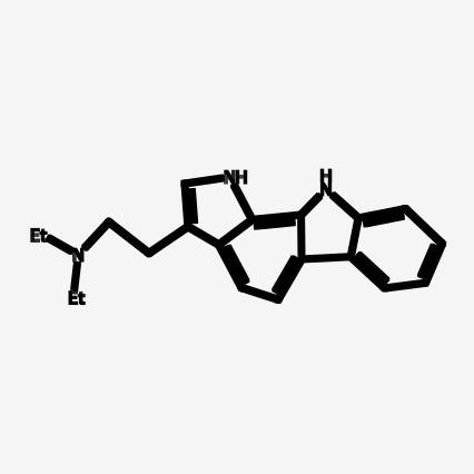 CCN(CC)CCc1c[nH]c2c1ccc1c3ccccc3[nH]c12